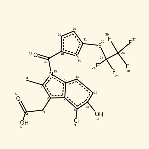 Cc1c(CC(=O)O)c2c(Cl)c(O)ccc2n1C(=O)c1ccc(SC(F)(F)C(F)(F)F)s1